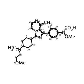 COCCN(C)C1CCC(c2nc(-c3ccc(N(OC)C(=O)O)cc3)c3c(C)nccn23)CC1